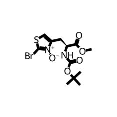 COC(=O)[C@H](Cc1csc(Br)[n+]1[O-])NC(=O)OC(C)(C)C